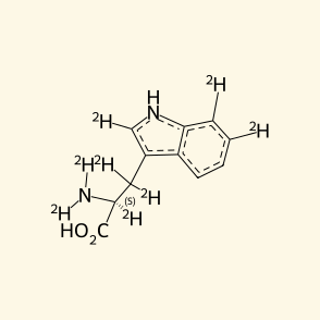 [2H]c1ccc2c(C([2H])([2H])[C@@]([2H])(C(=O)O)N([2H])[2H])c([2H])[nH]c2c1[2H]